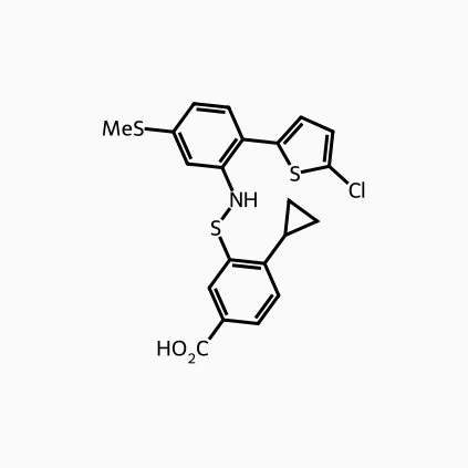 CSc1ccc(-c2ccc(Cl)s2)c(NSc2cc(C(=O)O)ccc2C2CC2)c1